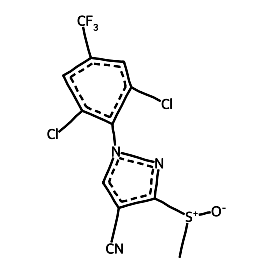 C[S+]([O-])c1nn(-c2c(Cl)cc(C(F)(F)F)cc2Cl)cc1C#N